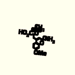 COc1ccc2c(C[C@H](OS(C)(=O)=O)C(=O)O)cc(=O)oc2c1.N